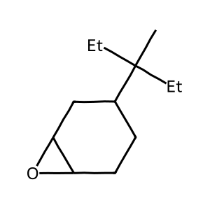 CCC(C)(CC)C1CCC2OC2C1